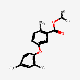 CCCC(OC(=O)c1cc(Oc2ccc(C(F)(F)F)cc2C(F)(F)F)ccc1[N+](=O)[O-])C(C)=O